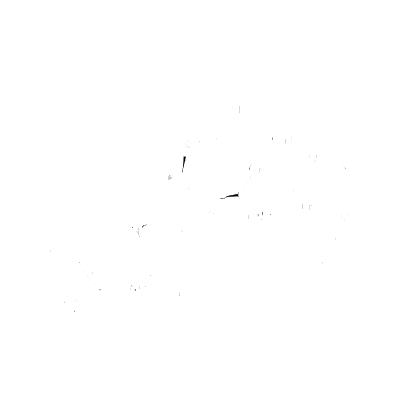 CSS[C@@H]1C[C@H](n2cc(C)c(=O)[nH]c2=O)O[C@@H]1C(O)OP(=O)(O)OP(=O)(O)OP(=O)(O)O